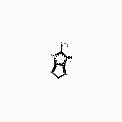 Cc1nc2c([nH]1)=CCC=2